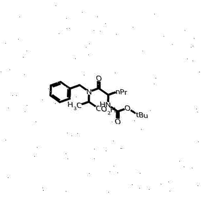 CCCC(NC(=O)OC(C)(C)C)C(=O)N(Cc1ccccc1)C(C)C(=O)O